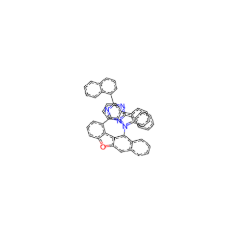 c1ccc(-c2nc(-c3cccc4ccccc34)nc(-c3cccc4oc5cc6ccccc6c(-n6c7ccccc7c7ccccc76)c5c34)n2)cc1